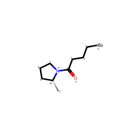 CCC(C)CCCC(=O)N1CCC[C@H]1C